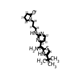 CC(C)(C)C1=CS/C(=C(/N)c2ccnc(NCCCN3CCCC3=O)n2)N1